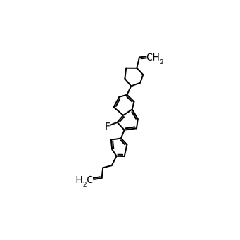 C=CCCc1ccc(-c2ccc3cc(C4CCC(C=C)CC4)ccc3c2F)cc1